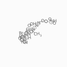 CCc1cc(Nc2ncc(Br)c(Nc3ccc4nccnc4c3P(C)(C)=O)n2)c(OC)cc1N1CCC(N2CCN(CCOc3ccc(C4CCC(=O)NC4=O)cc3)CC2)CC1.O=CO